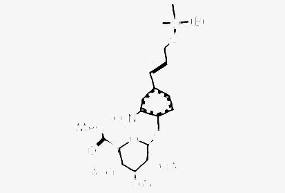 COC(=O)[C@H]1O[C@@H](Oc2ccc(/C=C/CO[Si](C)(C)C(C)(C)C)cc2[N+](=O)[O-])[C@H](OC(C)=O)[C@@H](OC(C)=O)[C@@H]1OC(C)=O